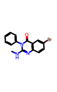 CNc1nc2ccc(Br)cc2c(=O)n1-c1ccccc1